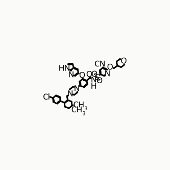 CC1(C)CCC(c2ccc(Cl)cc2)=C(CN2CCN(c3ccc(C(=O)NS(=O)(=O)c4cnc(OCC5CCOCC5)c(C#N)c4)c(Oc4cnc5[nH]ccc5c4)c3)CC2)C1